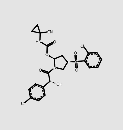 N#CC1(NC(=O)O[C@H]2C[C@@H](S(=O)(=O)c3ccccc3Cl)CN2C(=O)[C@H](O)c2ccc(Cl)cc2)CC1